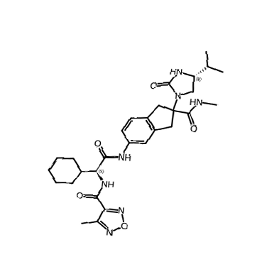 CNC(=O)C1(N2C[C@@H](C(C)C)NC2=O)Cc2ccc(NC(=O)[C@@H](NC(=O)c3nonc3C)C3CCCCC3)cc2C1